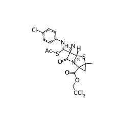 CC(=O)SC(=Nc1ccc(Cl)cc1)C1(N)C(=O)N2[C@H]1SC1(C)CC21C(=O)OCC(Cl)(Cl)Cl